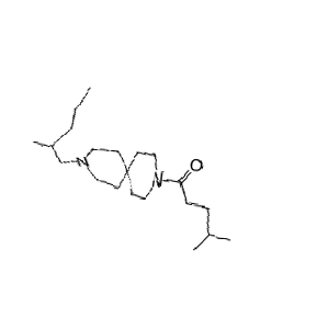 CCCC(C)CN1CCC2(CC1)CCN(C(=O)CCC(C)C)CC2